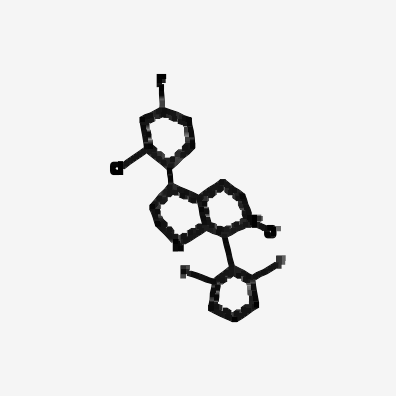 [O-][n+]1ccc2c(-c3ccc(F)cc3Cl)ccnc2c1-c1c(F)cccc1F